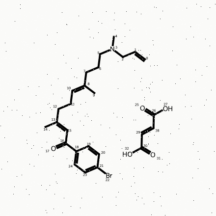 C=CCN(C)CCC/C(C)=C/CC/C(C)=C/C(=O)c1ccc(Br)cc1.O=C(O)/C=C/C(=O)O